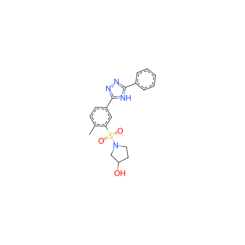 Cc1ccc(-c2nnc(-c3ccccc3)[nH]2)cc1S(=O)(=O)N1CCC(O)C1